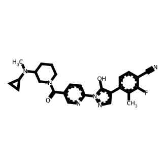 Cc1c(-c2cnn(-c3ccc(C(=O)N4CCCC(N(C)C5CC5)C4)cn3)c2O)ccc(C#N)c1F